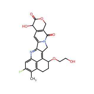 Cc1c(F)cc2nc3c(c4c2c1CCC4OCCO)Cn1c-3cc2c(c1=O)COC(=O)C2O